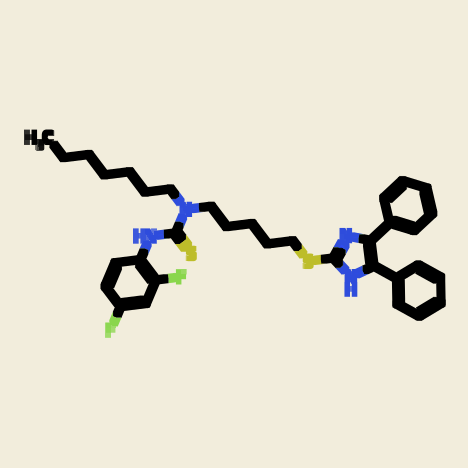 CCCCCCCN(CCCCCSc1nc(-c2ccccc2)c(-c2ccccc2)[nH]1)C(=S)Nc1ccc(F)cc1F